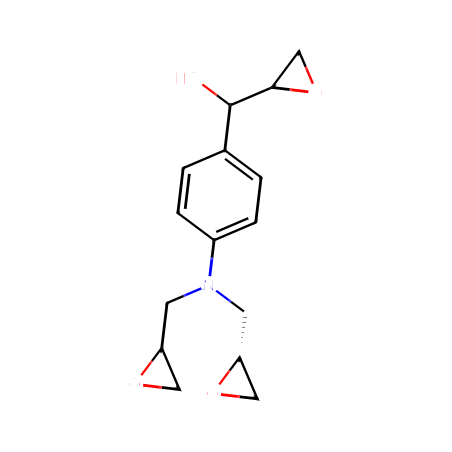 OC(c1ccc(N(CC2CO2)C[C@@H]2CO2)cc1)C1CO1